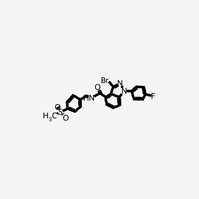 CS(=O)(=O)c1ccc(CNC(=O)c2cccc3c2c(Br)nn3-c2ccc(F)cc2)cc1